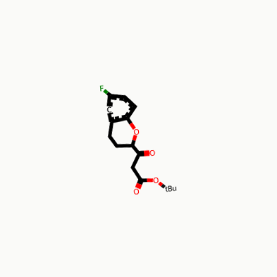 CC(C)(C)OC(=O)CC(=O)C1CCc2cc(F)ccc2O1